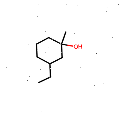 CCC1CCCC(C)(O)C1